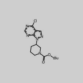 CC(C)(C)OC(=O)N1CCCC(n2ncc3c(Cl)ncnc32)C1